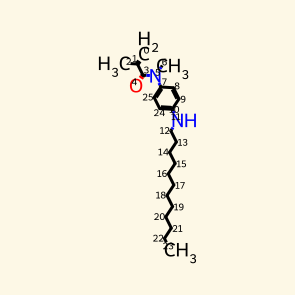 C=C(C)C(=O)N(C)c1ccc(NCCCCCCCCCCCC)cc1